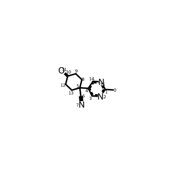 Cc1ncc(C2(C#N)CCC(=O)CC2)cn1